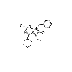 CCn1c(=O)n(Cc2ccccc2)c2nc(Cl)nc(N3CCNCC3)c21